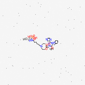 CC(C)C[C@@H](NC(=O)[C@@H](Cc1ccccc1)NC(=O)c1cnccn1)B1OCCCN(CCCCCC(=O)NC(C(=O)O)P(=O)(O)O)CCCO1